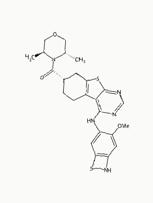 COc1cc2[nH]sc2cc1Nc1ncnc2sc3c(c12)CC[C@H](C(=O)N1[C@@H](C)COC[C@@H]1C)C3